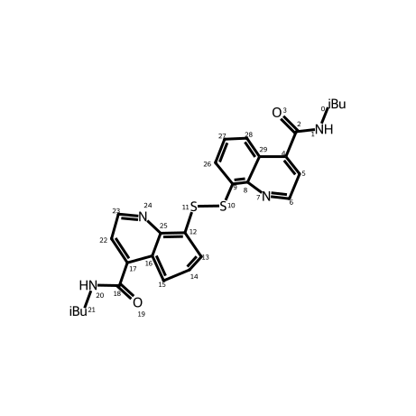 CCC(C)NC(=O)c1ccnc2c(SSc3cccc4c(C(=O)NC(C)CC)ccnc34)cccc12